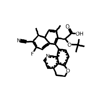 CC1=CC2C(=CC(F)=C(C#N)C2C)C(c2ccc3c4c(ccnc24)CCO3)=C1C(OC(C)(C)C)C(=O)O